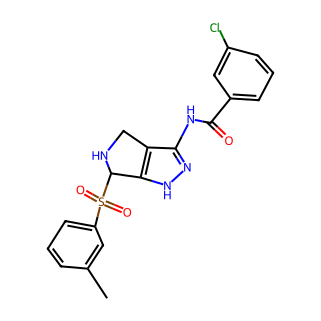 Cc1cccc(S(=O)(=O)C2NCc3c(NC(=O)c4cccc(Cl)c4)n[nH]c32)c1